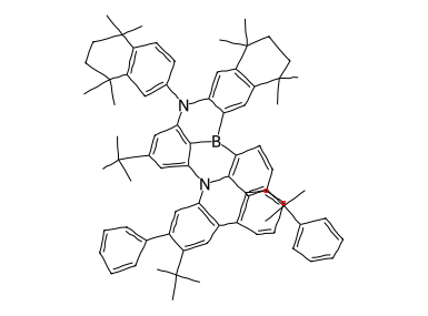 CC(C)(C)c1cc2c3c(c1)N(c1cc(-c4ccccc4)c(C(C)(C)C)cc1-c1ccccc1)c1cc(C(C)(C)c4ccccc4)ccc1B3c1cc3c(cc1N2c1ccc2c(c1)C(C)(C)CCC2(C)C)C(C)(C)CCC3(C)C